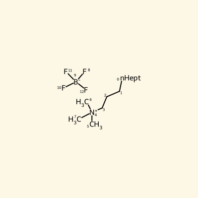 CCCCCCCCCC[N+](C)(C)C.F[B-](F)(F)F